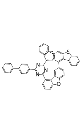 c1ccc(-c2ccc(-c3nc(-c4ccccc4)nc(-c4cccc5oc6ccc(-c7cc(-c8ccccc8)cc8sc9ccccc9c78)cc6c45)n3)cc2)cc1